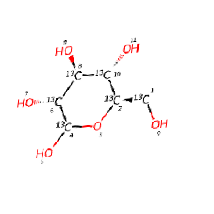 O[13CH2][13C@H]1O[13CH](O)[13C@H](O)[13C@@H](O)[13C@@H]1O